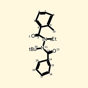 CCN(C(=O)c1ccccc1C)N(C(=O)c1ccccc1)C(C)(C)C